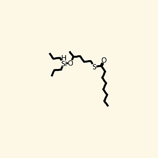 CCCCCCCC(=O)SCCCC(C)O[SiH](CCC)CCC